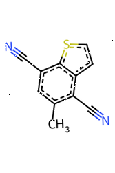 Cc1cc(C#N)c2sccc2c1C#N